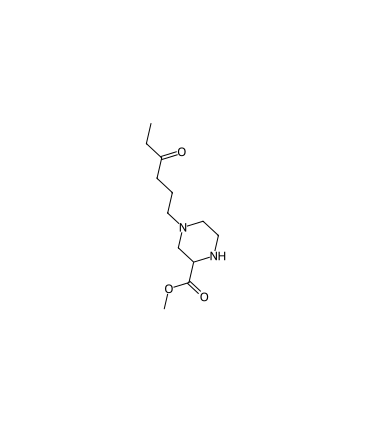 CCC(=O)CCCN1CCNC(C(=O)OC)C1